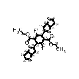 CCOC(=O)c1c(F)c(-c2cc3sccc3s2)c(C(=O)OCC)c(F)c1-c1cc2sccc2s1